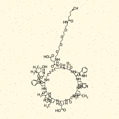 C#CCCCC(=O)NCCOCCOCCOCCOCCNC(CC(=O)O)C(=O)N[C@H]1CSSC[C@@H](C(=O)N[C@H](C(N)=O)[C@@H](C)O)NC(=O)[C@H](Cc2c[nH]c3ccccc23)NC(=O)[C@H](C(C)C)NC(=O)[C@H](CC(C)C)NC(=O)[C@H](CCC(=O)O)NC(=O)CNC(=O)[C@H](CC(C)C)NC(=O)[C@H](Cc2cnc[nH]2)NC(=O)[C@H](Cc2c[nH]c3ccccc23)NC(=O)[C@H](C)NC1=O